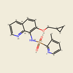 Cc1cccnc1S(=O)(=O)Nc1c(OCC2CC2)ccc2cccnc12